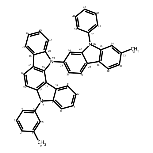 Cc1cccc(-n2c3ccccc3c3c2ccc2c4ccccc4n(-c4ccc5c6ccc(C)cc6n(-c6ccccc6)c5c4)c23)c1